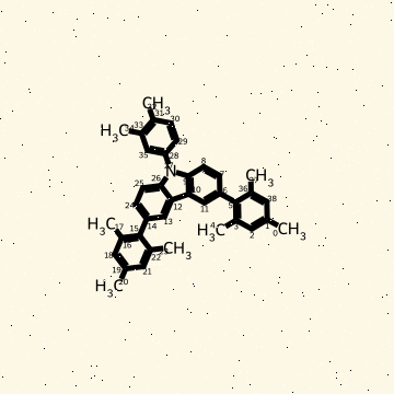 Cc1cc(C)c(-c2ccc3c(c2)c2cc(-c4c(C)cc(C)cc4C)ccc2n3-c2ccc(C)c(C)c2)c(C)c1